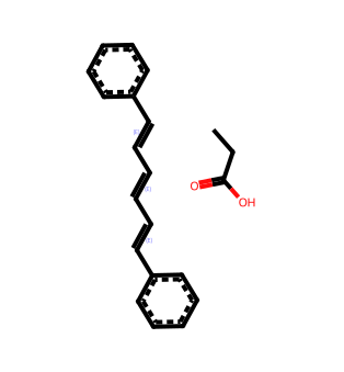 C(=C\C=C\c1ccccc1)/C=C/c1ccccc1.CCC(=O)O